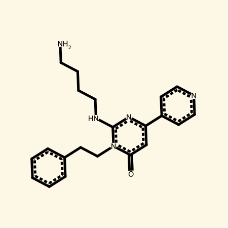 NCCCCNc1nc(-c2ccncc2)cc(=O)n1CCc1ccccc1